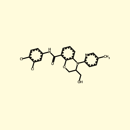 Cc1ccc(N2c3cccc(C(=O)Nc4ccc(Cl)c(Cl)c4)c3OCC2CO)nc1